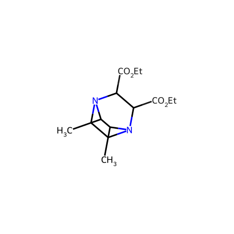 CCOC(=O)C1C(C(=O)OCC)N2CCN1C(C)C2C